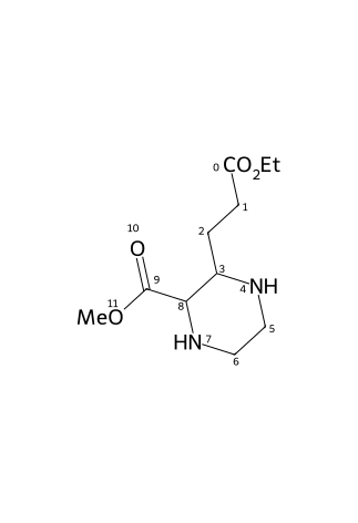 CCOC(=O)CCC1NCCNC1C(=O)OC